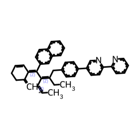 C=C1CCC=C/C1=C(C(/C=C\C)=C(/CC)Cc1ccc(-c2ccc(-c3ccccn3)nc2)cc1)\c1ccc2ccccc2c1